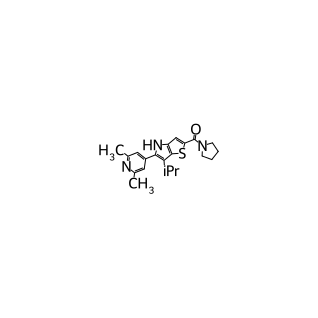 Cc1cc(-c2[nH]c3cc(C(=O)N4CCCC4)sc3c2C(C)C)cc(C)n1